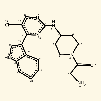 NCC(=O)N1CCC(Nc2ncc(Cl)c(-c3c[nH]c4ccccc34)n2)CC1